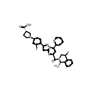 C[C@@H]1c2ccccc2C(F)CN1C(=O)c1cc(-c2ccccn2)n2nc(-c3ccc(N4CC[C@H](C(=O)O)C4)cc3F)cc2n1